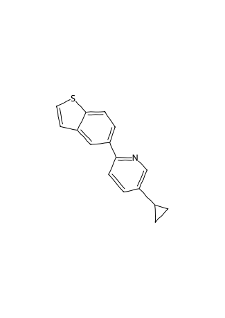 c1cc2cc(-c3ccc(C4CC4)cn3)ccc2s1